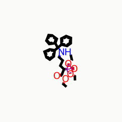 CCOC(=O)C(CCCNC(c1ccccc1)(c1ccccc1)c1ccccc1)P(=O)(OCC)OCC